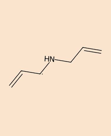 C=C[CH]NCC=C